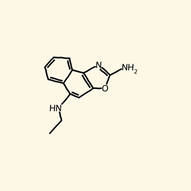 CCNc1cc2oc(N)nc2c2ccccc12